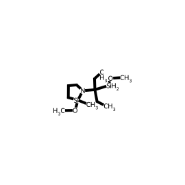 CCC(CC)([SiH2]OC)N1CCC[Si]1(C)OC